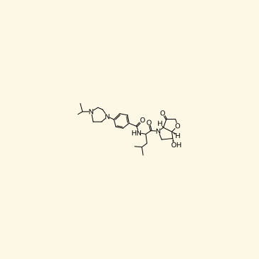 CC(C)CC(NC(=O)c1ccc(N2CCN(C(C)C)CC2)cc1)C(=O)N1C[C@H](O)[C@H]2OCC(=O)[C@H]21